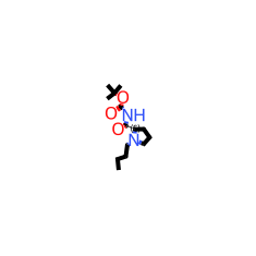 CCCCN1CCC[C@H]1C(=O)NC(=O)OC(C)(C)C